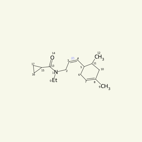 CCN(C/C=C\C1CC=C(C)CC1C)C(=O)C1CC1